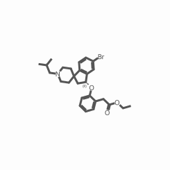 CCOC(=O)Cc1ccccc1O[C@@H]1CC2(CCN(C[C](C)C)CC2)c2ccc(Br)cc21